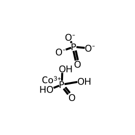 O=P(O)(O)O.O=P([O-])([O-])[O-].[Co+3]